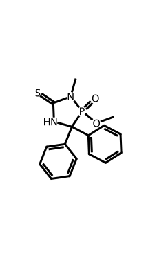 COP1(=O)N(C)C(=S)NC1(c1ccccc1)c1ccccc1